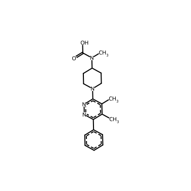 Cc1c(-c2ccccc2)nnc(N2CCC(N(C)C(=O)O)CC2)c1C